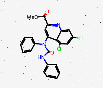 COC(=O)c1cc(N(C(=O)Nc2ccccc2)c2ccccc2)c2c(Cl)cc(Cl)cc2n1